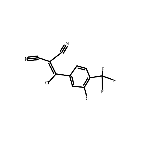 N#CC(C#N)=C(Cl)c1ccc(C(F)(F)F)c(Cl)c1